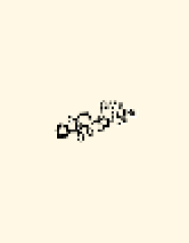 COC[C@H]1[C@H](n2ccc(=O)n(C(=O)c3ccccc3)c2=O)OC[C@H]1O[Si](C)(C)C(C)(C)C